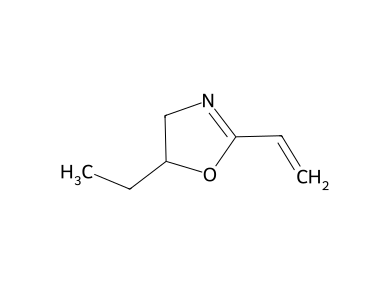 C=CC1=NCC(CC)O1